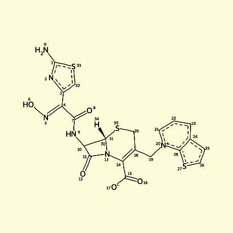 Nc1nc(C(=NO)C(=O)NC2C(=O)N3C(C(=O)[O-])=C(C[n+]4cccc5ccsc54)CS[C@@H]23)cs1